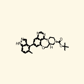 Cc1ccc2[nH]ncc2c1-c1cc2c3c(ncnc3c1)N1CCN(C(=O)OC(C)(C)C)C[C@H]1CO2